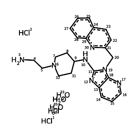 Cl.Cl.Cl.NCCN1CCC(Nc2nc3cccnc3n2Cc2ccc3ccccc3n2)CC1.O.O.O